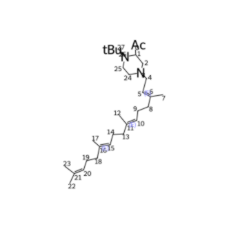 CC(=O)C1CN(C/C=C(\C)CC/C=C(\C)CC/C=C(\C)CCC=C(C)C)CCN1C(C)(C)C